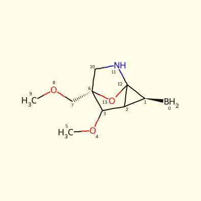 B[C@H]1C2C(OC)[C@@]3(COC)CNC21O3